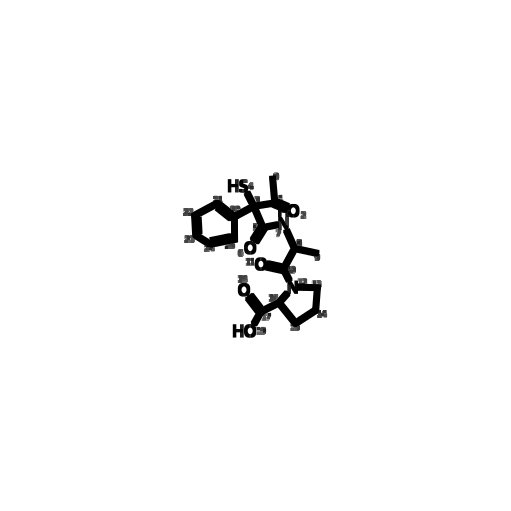 CC(=O)C(S)(C(=O)NC(C)C(=O)N1CCCC1C(=O)O)c1ccccc1